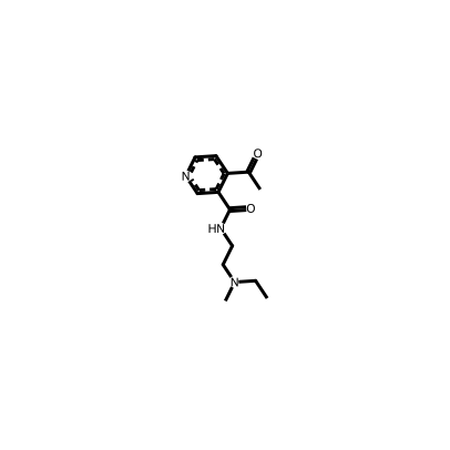 CCN(C)CCNC(=O)c1cnccc1C(C)=O